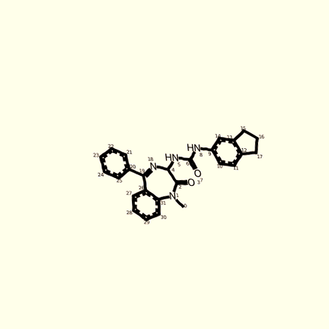 CN1C(=O)C(NC(=O)Nc2ccc3c(c2)CCC3)N=C(c2ccccc2)c2ccccc21